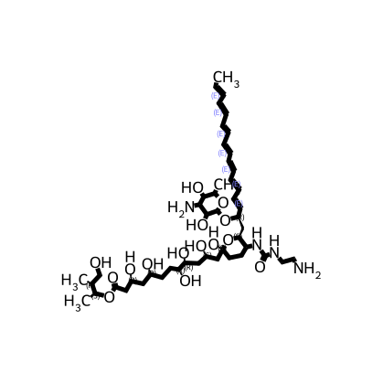 C/C=C/C=C/C=C/C=C/C=C/C=C/C=C/[C@@H](C[C@@H]1O[C@](O)(C[C@@H](O)C[C@@H](O)[C@H](O)CC[C@@H](O)C[C@@H](O)CC(=O)O[C@@H](C)[C@H](C)CO)CCC1NC(=O)NCCN)OC1OC(C)C(O)C(N)C1O